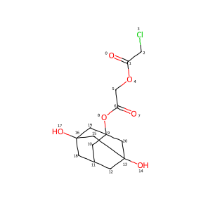 O=C(CCl)OCC(=O)OC12CC3CC(O)(CC(O)(C3)C1)C2